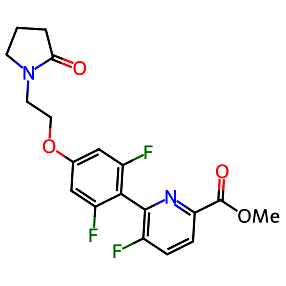 COC(=O)c1ccc(F)c(-c2c(F)cc(OCCN3CCCC3=O)cc2F)n1